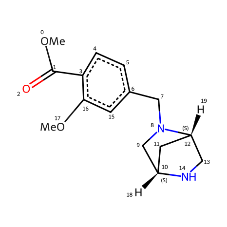 COC(=O)c1ccc(CN2C[C@@H]3C[C@H]2CN3)cc1OC